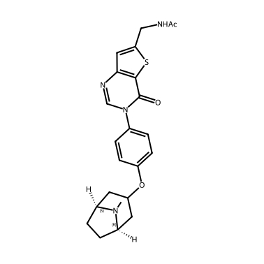 CC(=O)NCc1cc2ncn(-c3ccc(OC4C[C@H]5CC[C@@H](C4)N5C)cc3)c(=O)c2s1